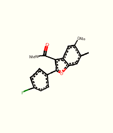 CNC(=O)c1c(-c2ccc(F)cc2)oc2cc(C)c(OC)cc12